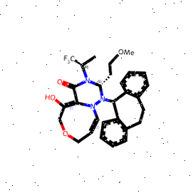 COCC[C@H]1N([C@H](C)C(F)(F)F)C(=O)/C2=C(\O)COC/C=C\N2N1C1c2ccccc2CCc2ccccc21